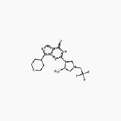 CC1CN(CC(F)(F)F)CC1c1nn2c(C3CCOCC3)ncc2c(=O)[nH]1